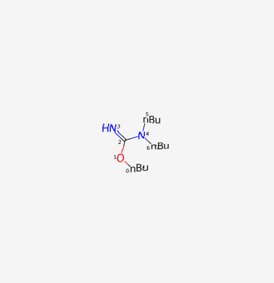 CCCCOC(=N)N(CCCC)CCCC